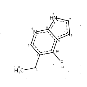 CCc1cnc2[nH]c[c]c2c1F